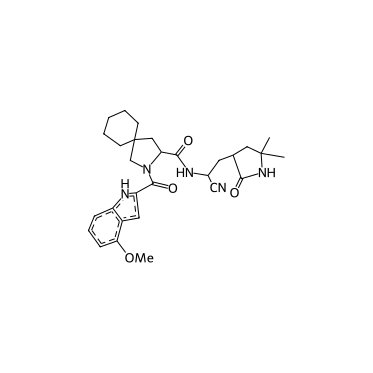 COc1cccc2[nH]c(C(=O)N3CC4(CCCCC4)CC3C(=O)NC(C#N)CC3CC(C)(C)NC3=O)cc12